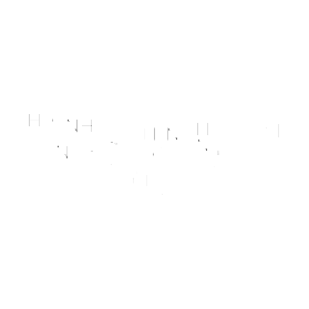 C=C(O/C=C(\N)CNC(=O)c1ccc(Cl)s1)c1ccc(C(=N)NC)cc1